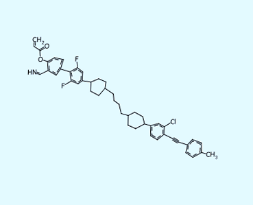 C=CC(=O)Oc1ccc(-c2c(F)cc(C3CCC(CCCCC4CCC(c5ccc(C#Cc6ccc(C)cc6)c(Cl)c5)CC4)CC3)cc2F)cc1C=N